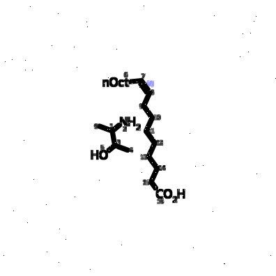 CC(N)C(C)O.CCCCCCCC/C=C\CCCCCCCC(=O)O